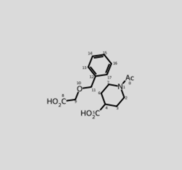 CC(=O)N1CCC(C(=O)O)CC1.O=C(O)COCc1ccccc1